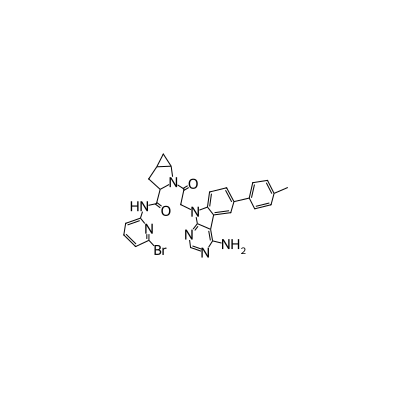 Cc1ccc(-c2ccc3c(c2)c2c(N)ncnc2n3CC(=O)N2C(C(=O)Nc3cccc(Br)n3)CC3CC32)cc1